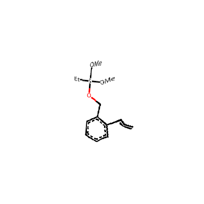 C=Cc1ccccc1CO[Si](CC)(OC)OC